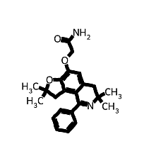 CC1(C)Cc2cc(OCC(N)=O)c3c(c2C(c2ccccc2)=N1)CC(C)(C)O3